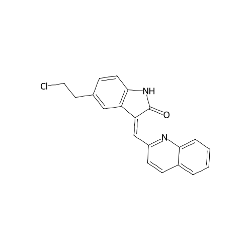 O=C1Nc2ccc(CCCl)cc2C1=Cc1ccc2ccccc2n1